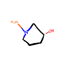 O[C@@H]1CCCN(P)C1